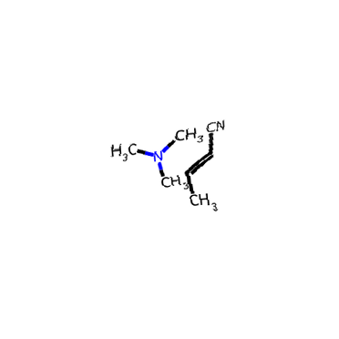 C/C=C/C#N.CN(C)C